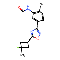 Cc1ccc(-c2noc(C3CC(C)(F)C3)n2)cc1NC=O